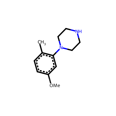 COc1ccc(C)c(N2CCNCC2)c1